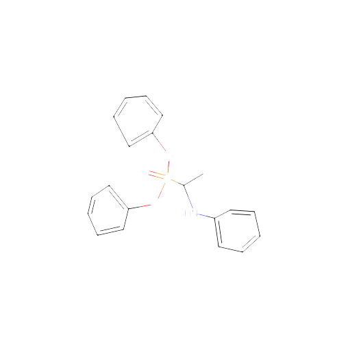 CC(Nc1ccccc1)P(=O)(Oc1ccccc1)Oc1ccccc1